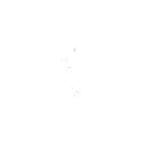 CCc1cnc(N2CCC(COc3c(F)cc(-c4cnn(CCCNC(=O)OC(C)(C)C)c4)cc3F)CC2)nc1